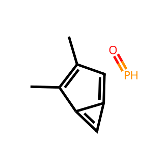 Cc1cc2cc-2c1C.O=P